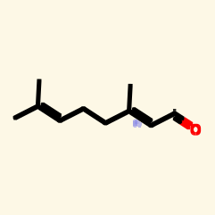 CC(C)=CCC/C(C)=C/[C]=O